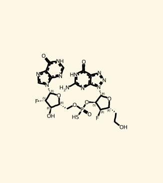 Nc1nc2c(nnn2[C@@H]2O[C@H](CCO)[C@@H](F)[C@H]2OP(=O)(S)OC[C@H]2O[C@@H](n3cnc4c(=O)[nH]cnc43)[C@@H](F)[C@@H]2O)c(=O)[nH]1